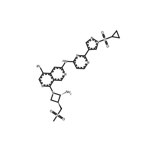 CC(C)c1cnc(N2C[C@H](CS(C)(=O)=O)[C@H]2N)c2cnc(Nc3ccnc(-c4cnn(S(=O)(=O)C5CC5)c4)n3)cc12